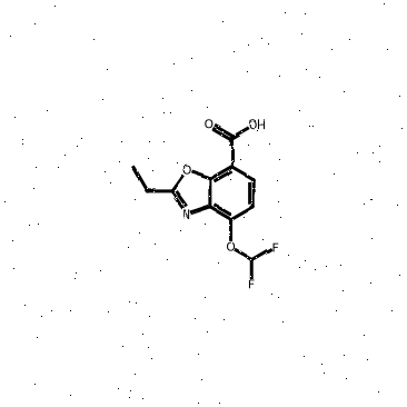 CCc1nc2c(OC(F)F)ccc(C(=O)O)c2o1